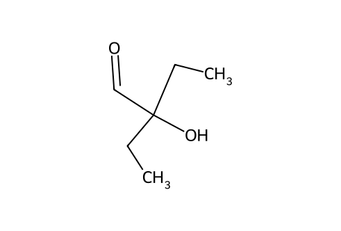 CCC(O)(C=O)CC